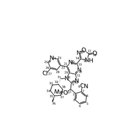 COC(c1ccccc1C#N)c1nc2nc(-c3noc(=O)[nH]3)nc(-c3cncc(Cl)c3)c2n1C[C@H]1CC[C@H](C)CC1